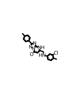 Cc1ccc(-c2nc3[nH]c(CNc4ccc(C)c(Cl)c4)cc(=O)n3n2)cc1